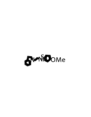 COc1ccc(SNCCN2CCc3ccccc32)cc1